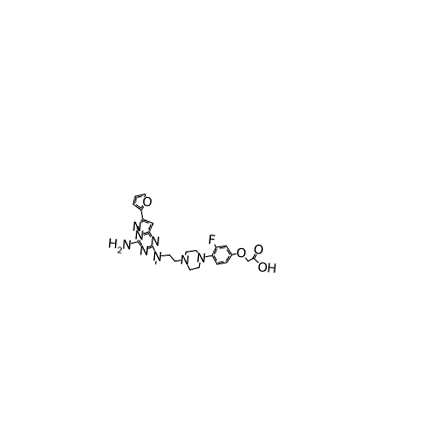 CN(CCN1CCN(c2ccc(OCC(=O)O)cc2F)CC1)c1nc(N)n2nc(-c3ccco3)cc2n1